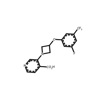 O=C(O)c1ccncc1N1CC(Oc2cc(F)cc(C(F)(F)F)c2)C1